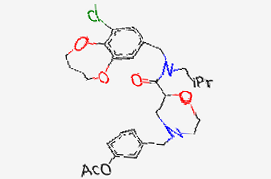 CC(=O)Oc1cccc(CN2CCOC(C(=O)N(Cc3cc(Cl)c4c(c3)OCCCO4)CC(C)C)C2)c1